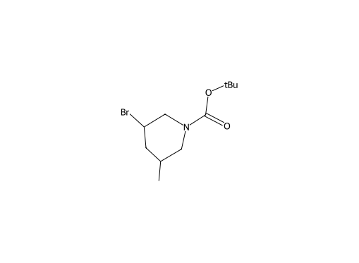 CC1CC(Br)CN(C(=O)OC(C)(C)C)C1